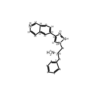 N[C@@H](Cc1ccccc1)Cn1cc(-c2ccc3cnccc3c2)nn1